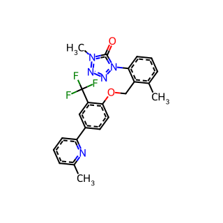 Cc1cccc(-c2ccc(OCc3c(C)cccc3-n3nnn(C)c3=O)c(C(F)(F)F)c2)n1